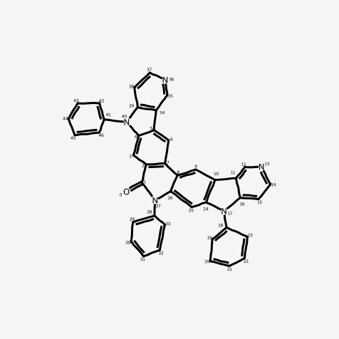 O=c1c2cc3c(cc2c2cc4c5cnccc5n(-c5ccccc5)c4cc2n1-c1ccccc1)c1cnccc1n3-c1ccccc1